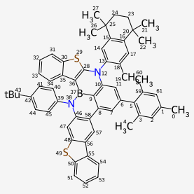 Cc1cc(C)c(-c2cc3c4c(c2)N(c2cc5c(cc2C)C(C)(C)CCC5(C)C)c2sc5ccccc5c2B4N(c2ccc(C(C)(C)C)cc2)c2cc4sc5ccccc5c4cc2-3)c(C)c1